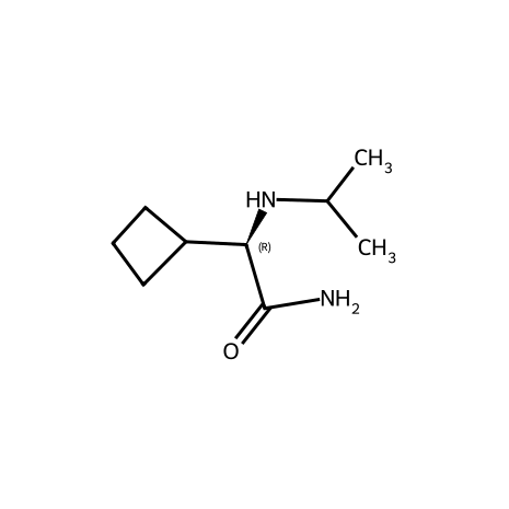 CC(C)N[C@@H](C(N)=O)C1CCC1